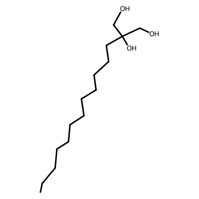 CCCCCCCCCCCCC(O)(CO)CO